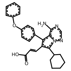 Nc1ncnn2c(C3CCCCC3)c(/C=C/C(=O)O)c(-c3ccc(Oc4ccccc4)cc3)c12